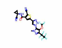 Cn1nc(C(F)(F)C(F)(F)F)c(OC(F)F)c1-n1cc(-c2cc(C(=O)NC3(C#N)CC3)c(C#N)s2)nn1